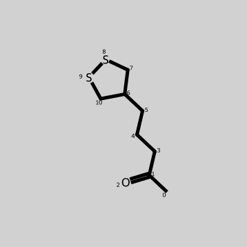 CC(=O)CCCC1CSSC1